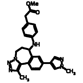 COC(=O)Cc1ccc(NC2CCn3nnc(C)c3-c3ccc(-c4cnn(C)c4)cc32)cc1